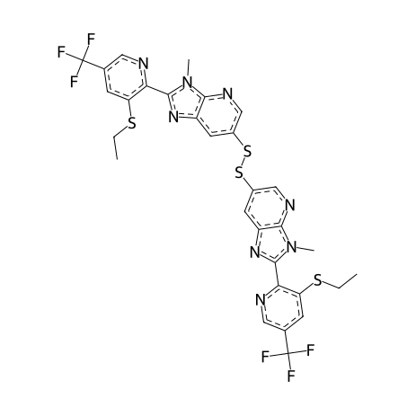 CCSc1cc(C(F)(F)F)cnc1-c1nc2cc(SSc3cnc4c(c3)nc(-c3ncc(C(F)(F)F)cc3SCC)n4C)cnc2n1C